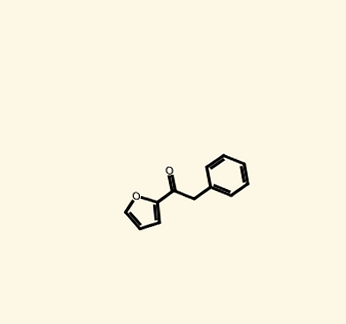 O=C(Cc1ccccc1)c1ccco1